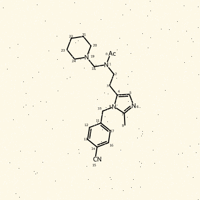 CC(=O)N(CCc1cnc(C)n1Cc1ccc(C#N)cc1)CN1CCCCC1